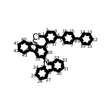 Clc1ccc(-c2ccc(-c3ccccc3)cc2)cc1-c1cc(-n2c3ccccc3c3ccccc32)cc2c1sc1ccccc12